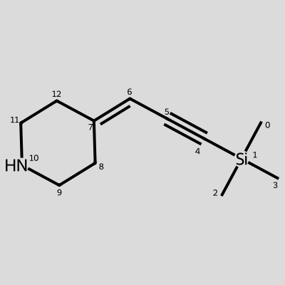 C[Si](C)(C)C#CC=C1CCNCC1